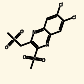 CS(=O)(=O)Cc1nc2cc(Cl)c(Cl)cc2nc1S(C)(=O)=O